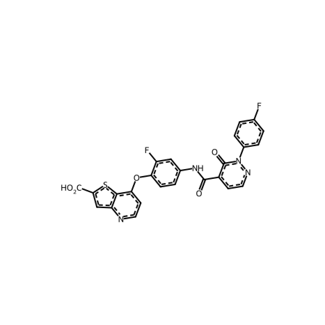 O=C(O)c1cc2nccc(Oc3ccc(NC(=O)c4ccnn(-c5ccc(F)cc5)c4=O)cc3F)c2s1